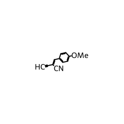 C#C/C(C#N)=C/c1ccc(OC)cc1